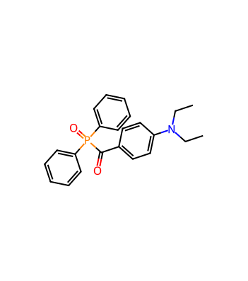 CCN(CC)c1ccc(C(=O)P(=O)(c2ccccc2)c2ccccc2)cc1